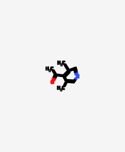 CC(=O)c1c(C)cncc1C